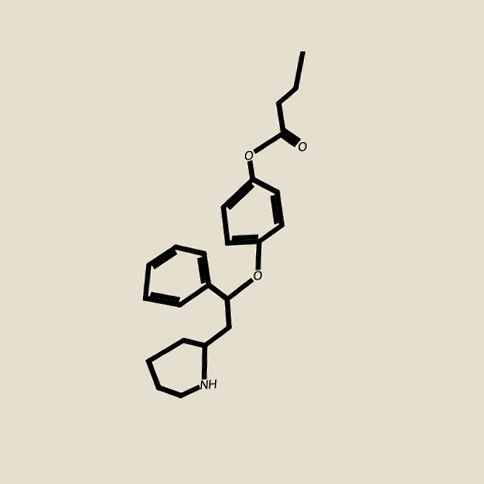 CCCC(=O)Oc1ccc(OC(CC2CCCCN2)c2ccccc2)cc1